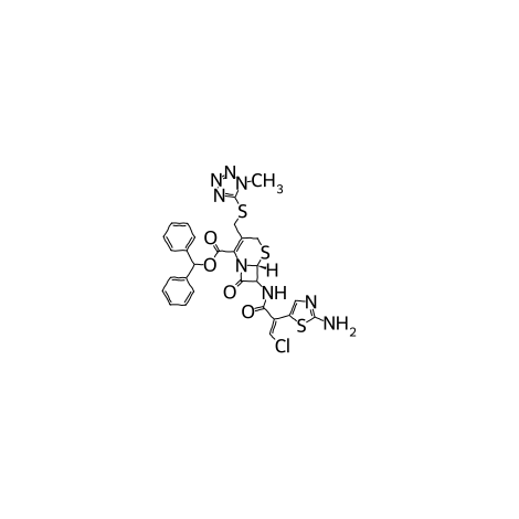 Cn1nnnc1SCC1=C(C(=O)OC(c2ccccc2)c2ccccc2)N2C(=O)C(NC(=O)/C(=C/Cl)c3cnc(N)s3)[C@H]2SC1